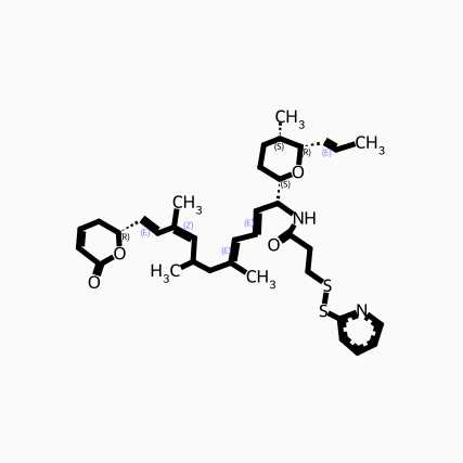 C/C=C/[C@@H]1O[C@H](C(/C=C/C=C(\C)CC(C)/C=C(C)\C=C\[C@H]2CC=CC(=O)O2)NC(=O)CCSSc2ccccn2)CC[C@@H]1C